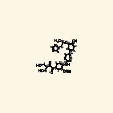 COc1cc(C(=O)NC(CO)CO)ccc1Nc1ncc(-c2ccc(C#N)c(O[C@@H](C)Cn3cncn3)c2)cn1